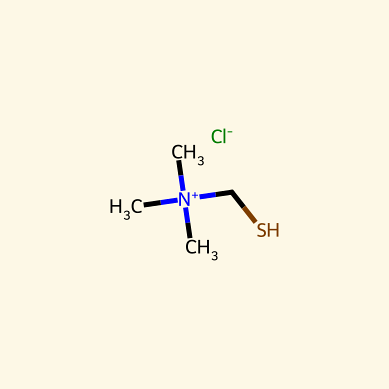 C[N+](C)(C)CS.[Cl-]